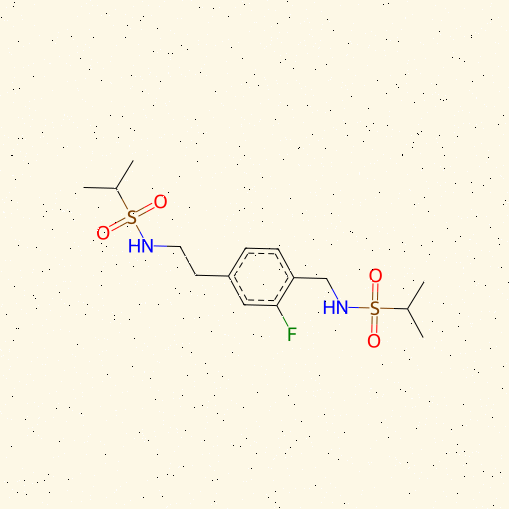 CC(C)S(=O)(=O)NCCc1ccc(CNS(=O)(=O)C(C)C)c(F)c1